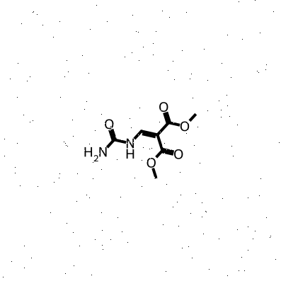 COC(=O)C(=CNC(N)=O)C(=O)OC